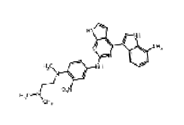 Cc1cccc2c(-c3nc(Nc4ccc(N(C)CCN(C)C)c([N+](=O)[O-])c4)nc4[nH]ccc34)c[nH]c12